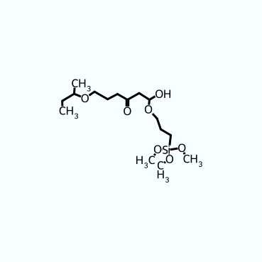 CCC(C)OCCCC(=O)CC(O)OCCC[Si](OC)(OC)OC